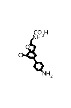 Nc1ccc(-c2cc(Cl)c3oc(CNC(=O)O)cc3c2)cc1